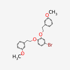 COc1cccc(CCOc2ccc(Br)cc2OCCc2cccc(OC)c2)c1